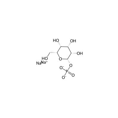 O=P([O-])([O-])O[C@@H]1O[C@H](CO)[C@H](O)[C@H](O)[C@@H]1O.[Na+].[Na+]